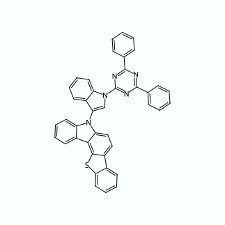 c1ccc(-c2nc(-c3ccccc3)nc(-n3cc(-n4c5ccccc5c5c6sc7ccccc7c6ccc54)c4ccccc43)n2)cc1